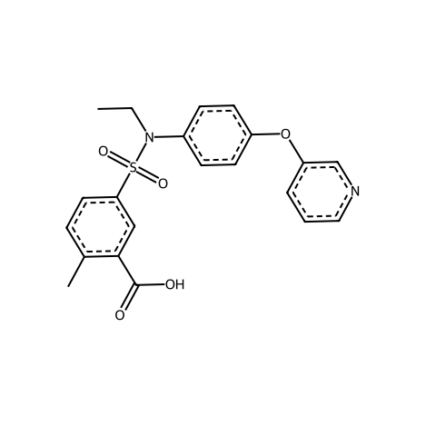 CCN(c1ccc(Oc2cccnc2)cc1)S(=O)(=O)c1ccc(C)c(C(=O)O)c1